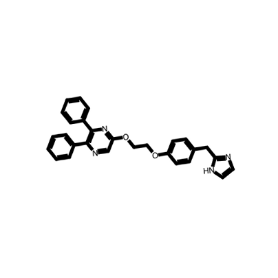 c1ccc(-c2ncc(OCCOc3ccc(Cc4ncc[nH]4)cc3)nc2-c2ccccc2)cc1